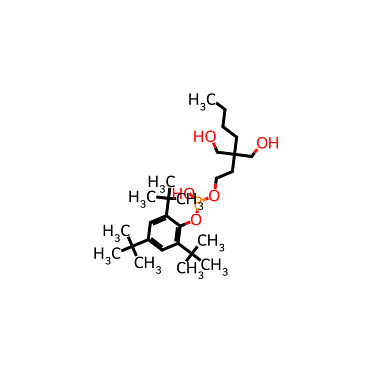 CCCCC(CO)(CO)CCOP(O)Oc1c(C(C)(C)C)cc(C(C)(C)C)cc1C(C)(C)C